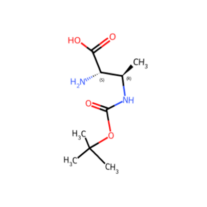 C[C@@H](NC(=O)OC(C)(C)C)[C@H](N)C(=O)O